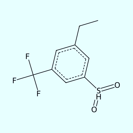 CCc1cc([SH](=O)=O)cc(C(F)(F)F)c1